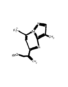 C=C(OC)c1cc(C)n2ncc(C)c2n1